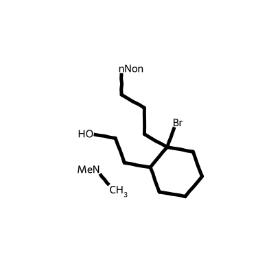 CCCCCCCCCCCCC1(Br)CCCCC1CCO.CNC